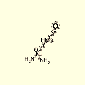 NCCN(CCN)C(=O)CCCCCNC(=O)CCSSc1ccccc1